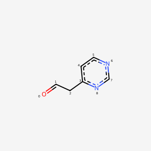 O=CCc1ccncn1